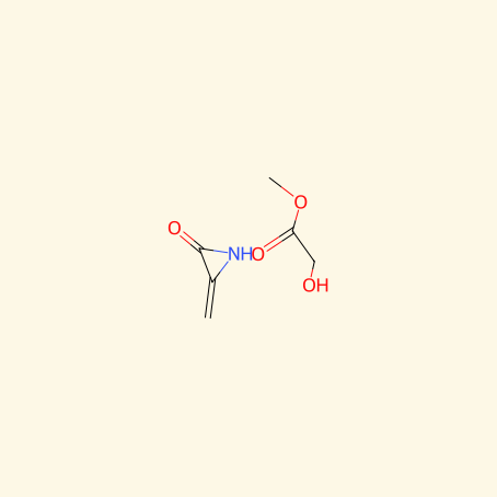 C=C1NC1=O.COC(=O)CO